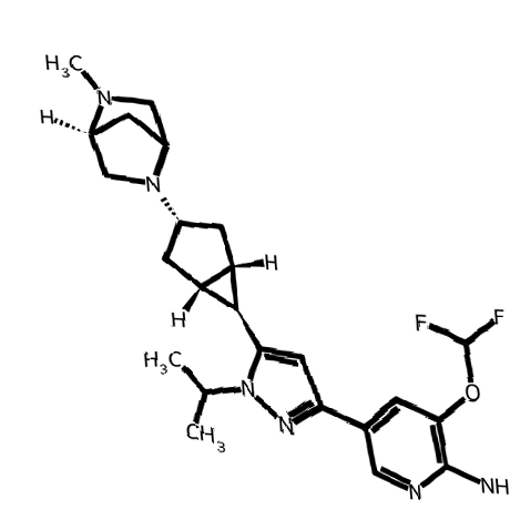 CC(C)n1nc(-c2cnc(N)c(OC(F)F)c2)cc1[C@H]1[C@@H]2C[C@H](N3C[C@@H]4CC3CN4C)C[C@@H]21